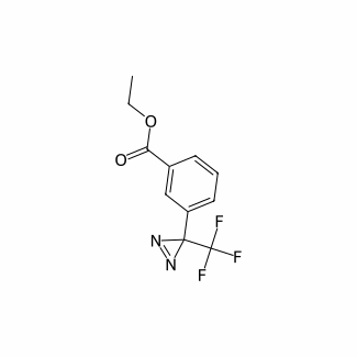 CCOC(=O)c1cccc(C2(C(F)(F)F)N=N2)c1